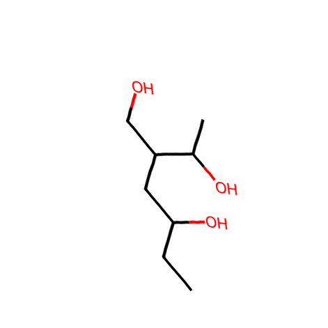 CCC(O)CC(CO)C(C)O